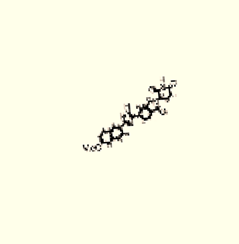 COc1ccc2cc(-c3n[nH]c(-c4ccc5c(c4)CN(C4CCC(=O)NC4=O)C5=O)n3)ccc2c1